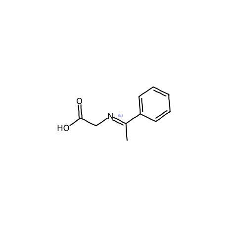 C/C(=N\CC(=O)O)c1ccccc1